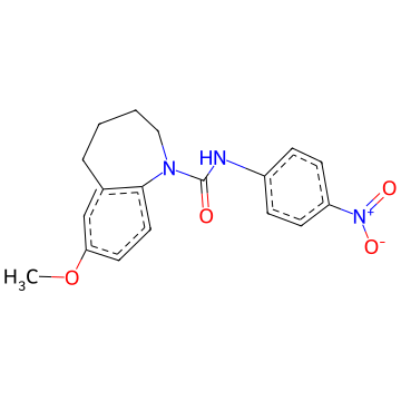 COc1ccc2c(c1)CCCCN2C(=O)Nc1ccc([N+](=O)[O-])cc1